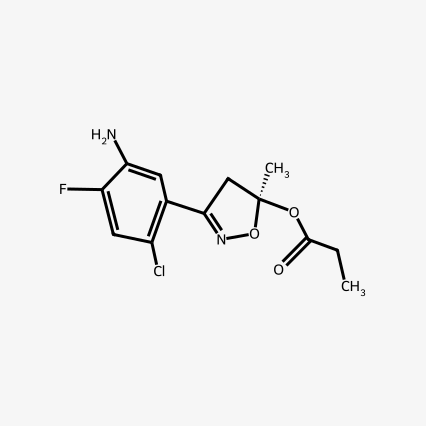 CCC(=O)O[C@]1(C)CC(c2cc(N)c(F)cc2Cl)=NO1